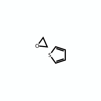 C1CO1.c1ccsc1